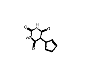 O=C1NC(=O)C(C2C=CCC2)C(=O)N1